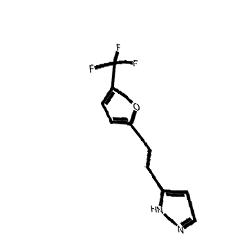 FC(F)(F)c1ccc(C[CH]c2ccn[nH]2)o1